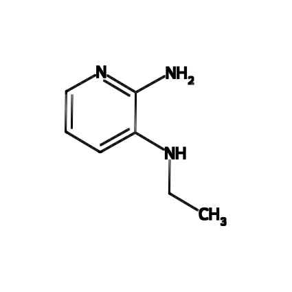 CCNc1cccnc1N